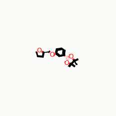 CC1(C)OB(c2cccc(OC[C@H]3CCCO3)c2)OC1(C)C